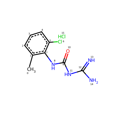 Cc1cccc(Cl)c1NC(=O)NC(=N)N.Cl